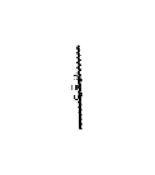 CCCCCCCCCCCCCC(=O)OCCNCCOC(=O)CCCCCCCCCCCCC